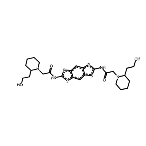 O=C(CN1CCCCC1CCO)Nc1nc2cc3nc(NC(=O)CN4CCCCC4CCO)sc3cc2s1